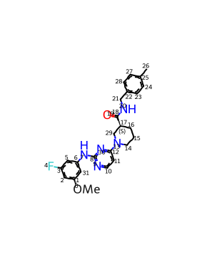 COc1cc(F)cc(Nc2nccc(N3CCC[C@H](C(=O)NCc4ccc(C)cc4)C3)n2)c1